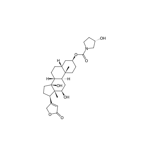 C[C@]12CC[C@H](OC(=O)N3CC[C@H](O)C3)C[C@H]1CC[C@@H]1[C@@H]2C[C@@H](O)[C@]2(C)[C@@H](C3=CC(=O)OC3)CC[C@]12O